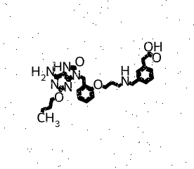 CCCCOc1nc(N)c2[nH]c(=O)n(Cc3ccccc3OCCCNCc3cccc(CC(=O)O)c3)c2n1